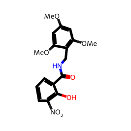 COc1cc(OC)c(CNC(=O)c2cccc([N+](=O)[O-])c2O)c(OC)c1